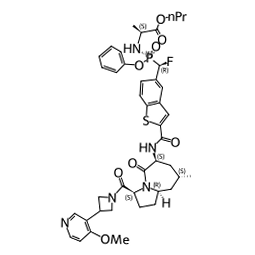 CCCOC(=O)[C@H](C)N[P@@](=O)(Oc1ccccc1)[C@@H](F)c1ccc2sc(C(=O)N[C@H]3C[C@H](C)C[C@H]4CC[C@@H](C(=O)N5CC(c6cnccc6OC)C5)N4C3=O)cc2c1